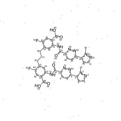 Cn1nccc1-c1ccc(C(=O)Nc2cc(CCCc3cc(NC(=O)c4ccc(-c5ccnn5C)nn4)c(C(=O)O)cc3F)c(F)cc2C(=O)O)nn1